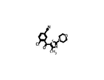 Cc1nc(N2CCOCC2)sc1C(=O)c1cc(C#N)ccc1Cl